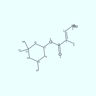 CC(=CC(C)(C)C)C(=O)OC1CC(C)CC(C)(C)C1